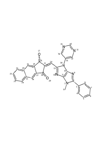 Cn1c(-c2ccccc2)nc2c1nc(C=C1C(=O)c3cc4ccccc4cc3C1=O)n2-c1cncnc1